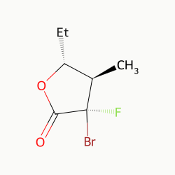 CC[C@H]1OC(=O)[C@](F)(Br)[C@@H]1C